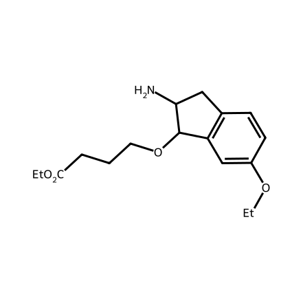 CCOC(=O)CCCOC1c2cc(OCC)ccc2CC1N